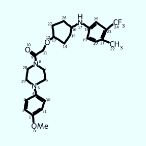 COc1ccc(N2CCN(C(=O)COC3CCC(Nc4ccc(C)c(C(F)(F)F)c4)CC3)CC2)cc1